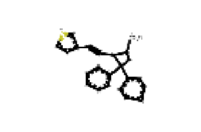 CCOC(=O)C1CC(c2ccccc2)(c2ccccc2)C1C#Cc1ccsc1